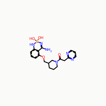 NC1=NS(O)(O)Nc2cccc(OCC3CCCN(C(=O)Cc4ncccn4)C3)c21